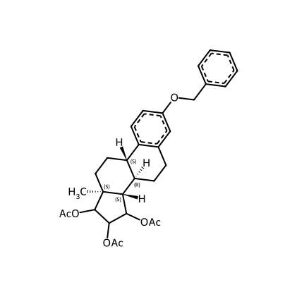 CC(=O)OC1C(OC(C)=O)[C@H]2[C@@H]3CCc4cc(OCc5ccccc5)ccc4[C@H]3CC[C@]2(C)C1OC(C)=O